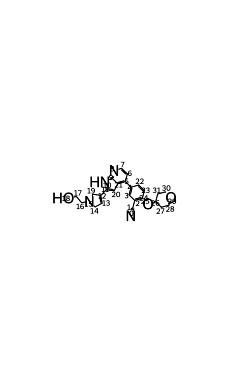 N#Cc1cc(-c2ccnc3[nH]c(C4=CCN(CCO)C4)cc23)ccc1OC1CCOCC1